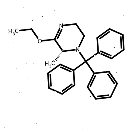 CCOC1=NCCN(C(c2ccccc2)(c2ccccc2)c2ccccc2)[C@@H]1C